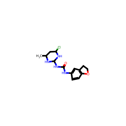 CC1CC(Cl)NC(NC(=O)Nc2ccc3c(c2)CCO3)N1